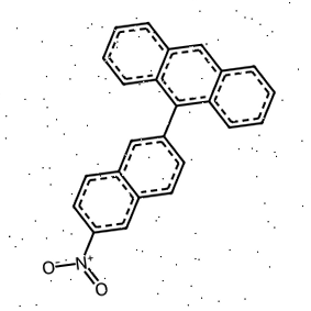 O=[N+]([O-])c1ccc2cc(-c3c4ccccc4[c]c4ccccc34)ccc2c1